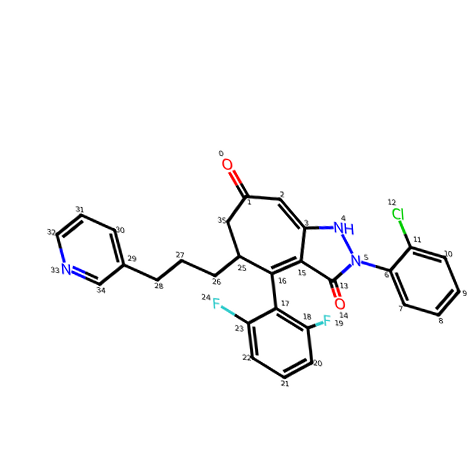 O=C1C=c2[nH]n(-c3ccccc3Cl)c(=O)c2=C(c2c(F)cccc2F)C(CCCc2cccnc2)C1